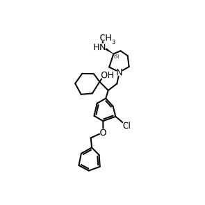 CN[C@H]1CCCN(CC(c2ccc(OCc3ccccc3)c(Cl)c2)C2(O)CCCCC2)C1